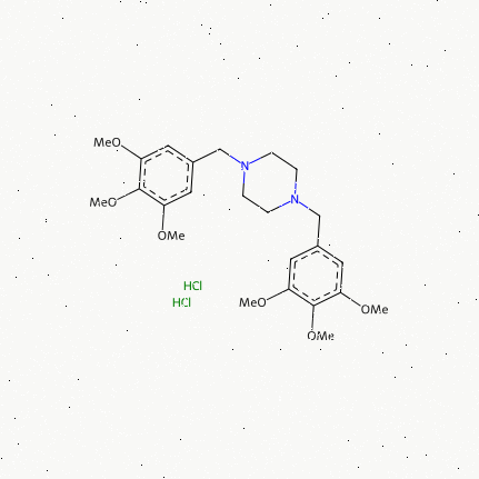 COc1cc(CN2CCN(Cc3cc(OC)c(OC)c(OC)c3)CC2)cc(OC)c1OC.Cl.Cl